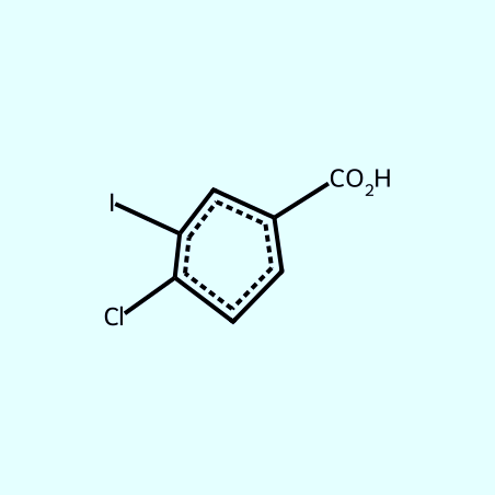 O=C(O)c1ccc(Cl)c(I)c1